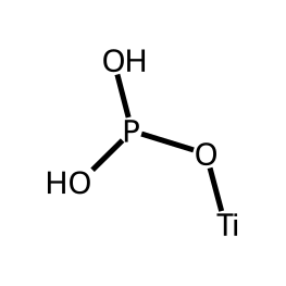 OP(O)[O][Ti]